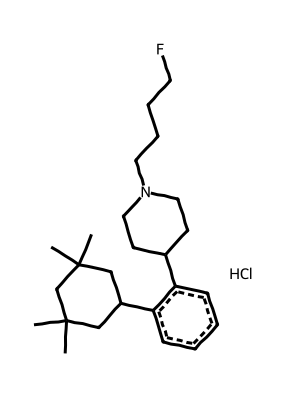 CC1(C)CC(c2ccccc2C2CCN(CCCCF)CC2)CC(C)(C)C1.Cl